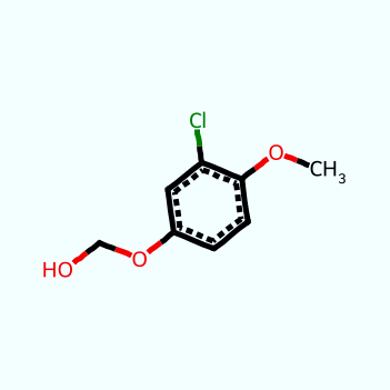 COc1ccc(OCO)cc1Cl